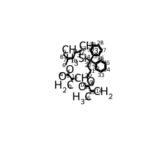 C=C(C)C(=O)OCC(CC)CCCC.C=C(C)C(=O)OCCCC([SiH3])(c1ccccc1)c1ccccc1